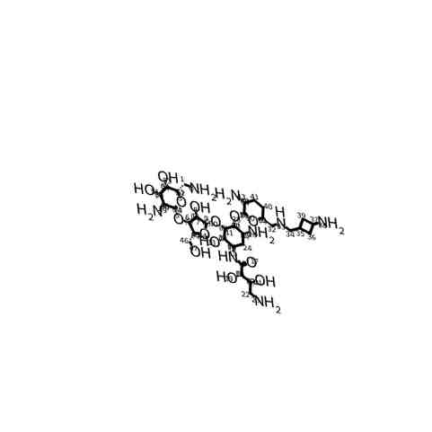 NC[C@@H]1O[C@H](O[C@H]2[C@@H](O)[C@H](O[C@@H]3[C@@H](O)[C@H](NC(=O)[C@@H](O)[C@@H](O)CN)C[C@H](N)[C@H]3O[C@H]3O[C@H](CNCC4CC(N)C4)CC[C@H]3N)O[C@@H]2CO)[C@H](N)[C@@H](O)[C@@H]1O